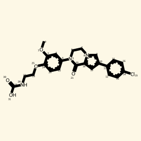 COc1cc(N2CCn3cc(-c4ccc(Cl)cc4)cc3C2=O)ccc1OCCNC(=O)O